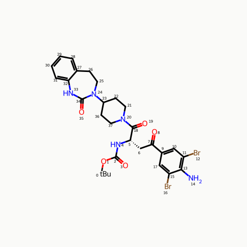 CC(C)(C)OC(=O)N[C@@H](CC(=O)c1cc(Br)c(N)c(Br)c1)C(=O)N1CCC(N2CCc3ccccc3NC2=O)CC1